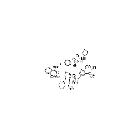 CCOc1cc(CC(=O)N[C@@H](CC(C)C)c2ccccc2N2CCCCC2)ccc1C(=O)O.COc1ccccc1C(=O)NCCc1ccc(S(=O)(=O)NC(=O)NC2CCCC2)cc1